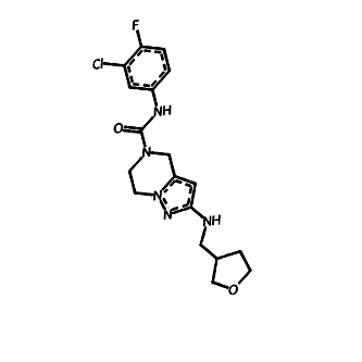 O=C(Nc1ccc(F)c(Cl)c1)N1CCn2nc(NCC3CCOC3)cc2C1